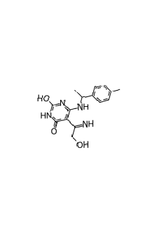 Cc1ccc(C(C)Nc2nc(O)[nH]c(=O)c2C(=N)CO)cc1